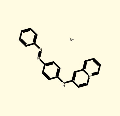 [Br-].c1ccc(N=Nc2ccc(Nc3cc[n+]4ccccc4c3)cc2)cc1